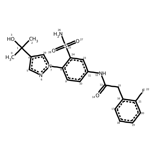 CC(C)(O)c1cnn(-c2ccc(NC(=O)Cc3ccccc3F)cc2S(N)(=O)=O)c1